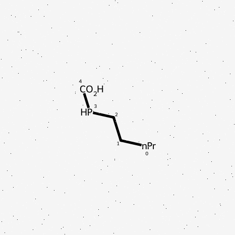 CCCCCPC(=O)O